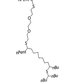 CCCCCCC(CCCCC)SCCOCCOCCSC(CCCCC)CCCCCCCC(CCCC)SC(CCCC)CCCC